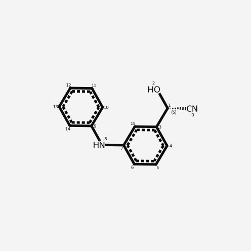 N#C[C@@H](O)c1cccc(Nc2ccccc2)c1